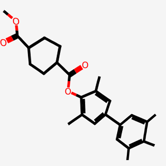 COC(=O)C1CCC(C(=O)Oc2c(C)cc(-c3cc(C)c(C)c(C)c3)cc2C)CC1